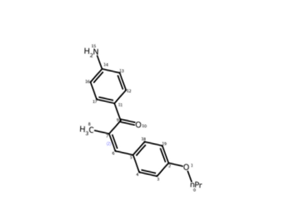 CCCOc1ccc(/C=C(/C)C(=O)c2ccc(N)cc2)cc1